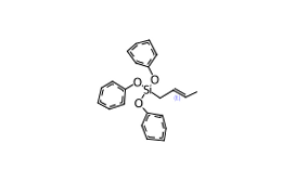 C/C=C/C[Si](Oc1ccccc1)(Oc1ccccc1)Oc1ccccc1